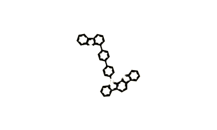 c1ccc2c(c1)oc1c2ccc2c3ccccc3n(-c3ccc(-c4ccc(-c5cccc6c5sc5ccccc56)cc4)cc3)c21